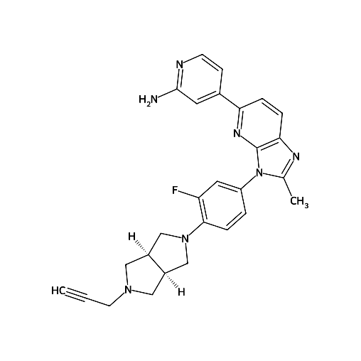 C#CCN1C[C@@H]2CN(c3ccc(-n4c(C)nc5ccc(-c6ccnc(N)c6)nc54)cc3F)C[C@@H]2C1